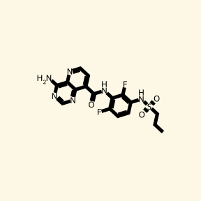 CCCS(=O)(=O)Nc1ccc(F)c(NC(=O)c2ccnc3c(N)ncnc23)c1F